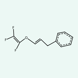 FC(F)=C(F)OC=CCc1ccccc1